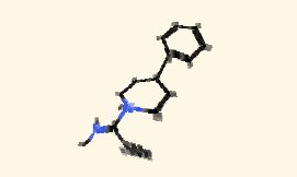 C/N=C(\SC)N1CCC(c2ccccc2)CC1